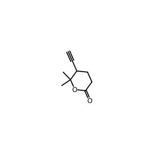 C#CC1CCC(=O)OC1(C)C